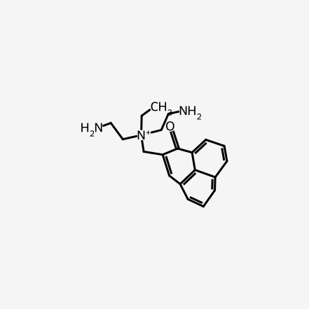 CC[N+](CCN)(CCN)CC1=Cc2cccc3cccc(c23)C1=O